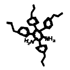 CCCc1ccc(-c2c(N)c(-c3ccc(CCC)cc3)c(-c3ccc(CCC)cc3)c(-c3ccc(CCC)cc3)c2N)cc1